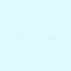 Nc1cccc2[nH]c([N+](=O)[O-])nc12